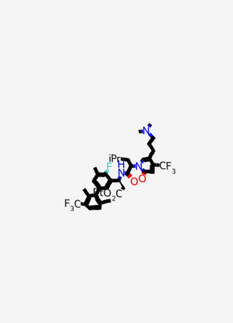 CCOC(=O)C[C@H](NC(=O)C(CC(C)C)n1cc(CCCN(C)C)c(C(F)(F)F)cc1=O)c1cc(-c2c(C)ccc(C(F)(F)F)c2C)cc(C)c1F